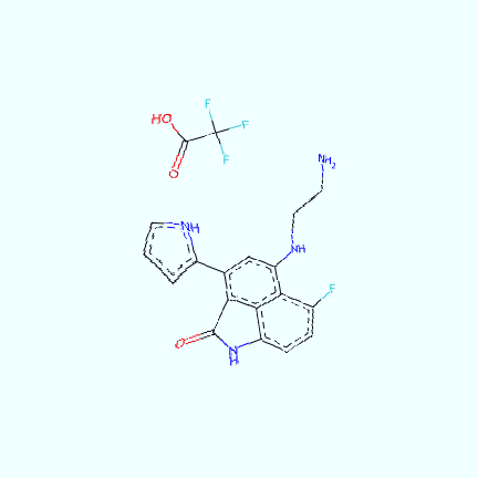 NCCNc1cc(-c2ccc[nH]2)c2c3c(ccc(F)c13)NC2=O.O=C(O)C(F)(F)F